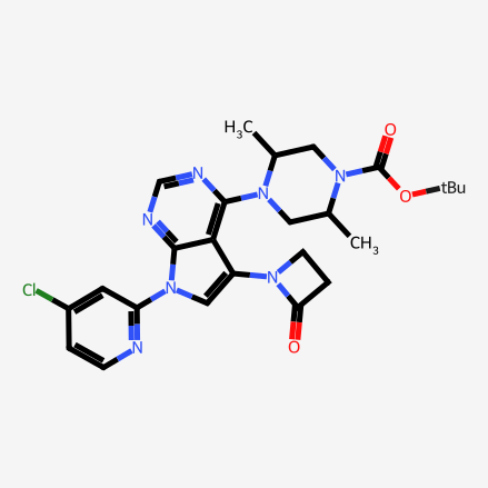 CC1CN(c2ncnc3c2c(N2CCC2=O)cn3-c2cc(Cl)ccn2)C(C)CN1C(=O)OC(C)(C)C